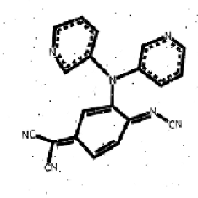 N#C/N=C1\C=CC(=C(C#N)C#N)C=C1N(c1cccnc1)c1cccnc1